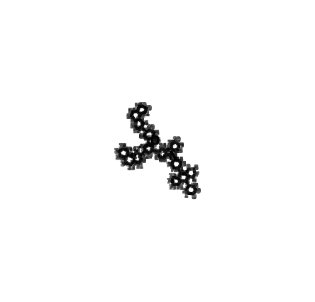 c1ccc(-c2c3ccccc3c(-c3ccc(-n4c5ccccc5c5cc(-c6cc(-c7ccc8ccc9ccccc9c8c7)cc7c6oc6ccc(-c8ccc9ccc%10ccccc%10c9c8)cc67)ccc54)cc3)c3ccccc23)cc1